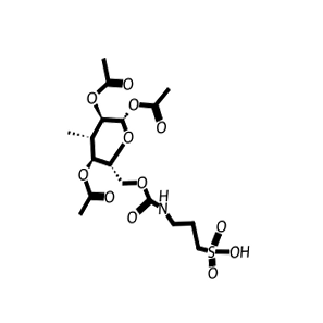 CC(=O)O[C@@H]1O[C@H](COC(=O)NCCCS(=O)(=O)O)[C@@H](OC(C)=O)[C@H](C)[C@H]1OC(C)=O